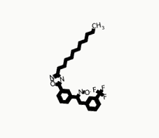 CCCCCCCCCCCc1noc(-c2cccc(C(Cc3cccc(C(F)(F)F)c3)[N][O])c2)n1